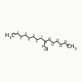 CCCCCCCCC(CI)CCCCCC